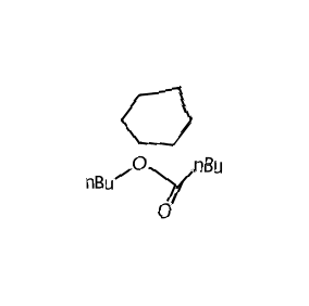 C1CCCCC1.CCCCOC(=O)CCCC